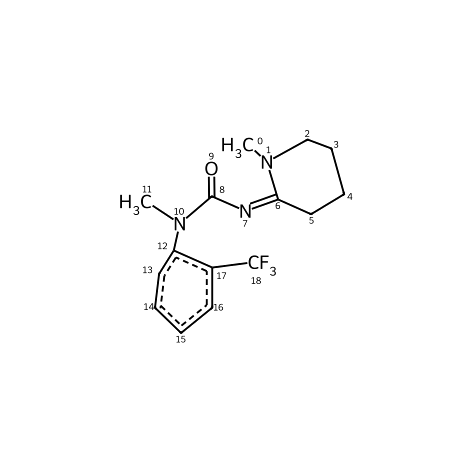 CN1CCCCC1=NC(=O)N(C)c1ccccc1C(F)(F)F